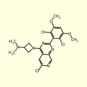 COc1cc(OC)c(Cl)c(-c2nc(N3CC(N(C)C)C3)c3cc(Cl)ncc3n2)c1Cl